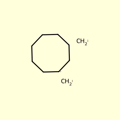 [CH2].[CH2].[CH]1CCCCCCC1